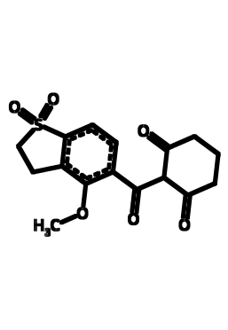 COc1c(C(=O)C2C(=O)CCCC2=O)ccc2c1CCS2(=O)=O